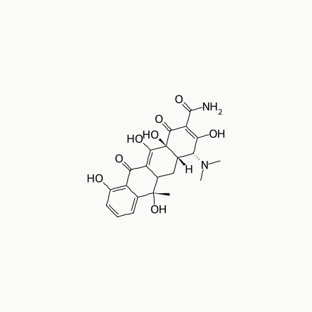 CN(C)[C@H]1C(O)=C(C(N)=O)C(=O)[C@@]2(O)C(O)=C3C(=O)c4c(O)cccc4[C@@](C)(O)C3C[C@@H]12